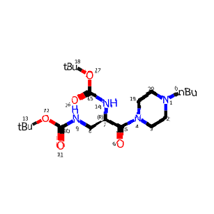 CCCCN1CCN(C(=O)[C@@H](CNC(=O)OC(C)(C)C)NC(=O)OC(C)(C)C)CC1